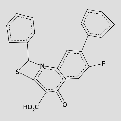 O=C(O)c1c2n(c3cc(-c4ccccc4)c(F)cc3c1=O)C(c1ccccc1)S2